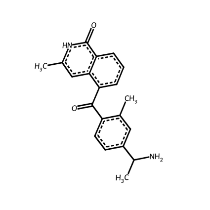 Cc1cc2c(C(=O)c3ccc(C(C)N)cc3C)cccc2c(=O)[nH]1